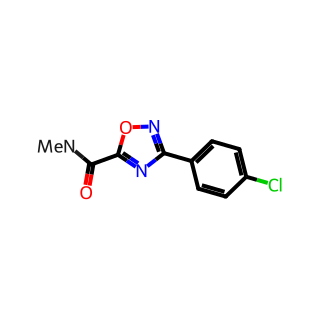 CNC(=O)c1nc(-c2ccc(Cl)cc2)no1